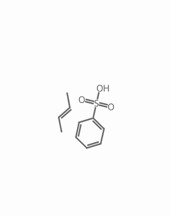 CC=CC.O=S(=O)(O)c1ccccc1